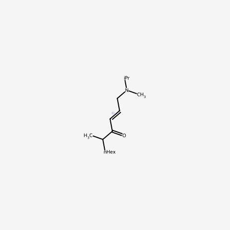 CCCCCCC(C)C(=O)/C=C/CN(C)C(C)C